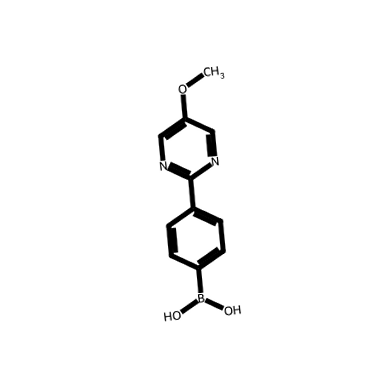 COc1cnc(-c2ccc(B(O)O)cc2)nc1